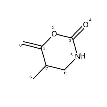 C=C1OC(=O)NCC1C